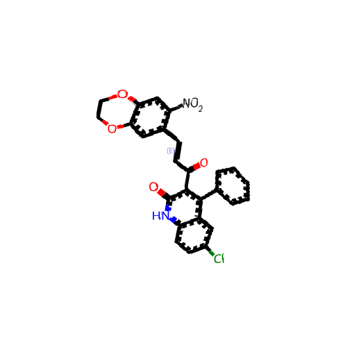 O=C(/C=C/c1cc2c(cc1[N+](=O)[O-])OCCO2)c1c(-c2ccccc2)c2cc(Cl)ccc2[nH]c1=O